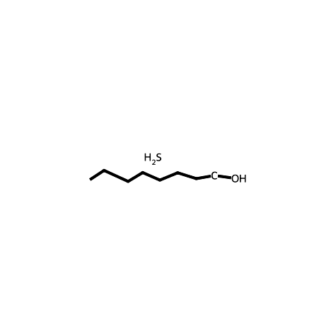 CCCCCCCCO.S